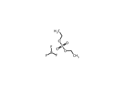 CCOS(=O)(=O)OCC.FB(F)F